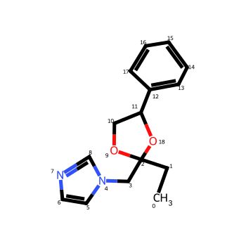 CCC1(Cn2ccnc2)OCC(c2ccccc2)O1